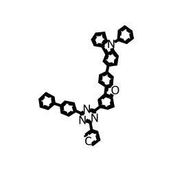 c1ccc(-c2ccc(-c3nc(-c4ccccc4)nc(-c4ccc5oc6cc(-c7ccc8c(c7)c7ccccc7n8-c7ccccc7)ccc6c5c4)n3)cc2)cc1